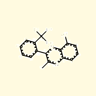 Cc1nc2cccc(Cl)c2nc1-c1ccccc1C(F)(F)F